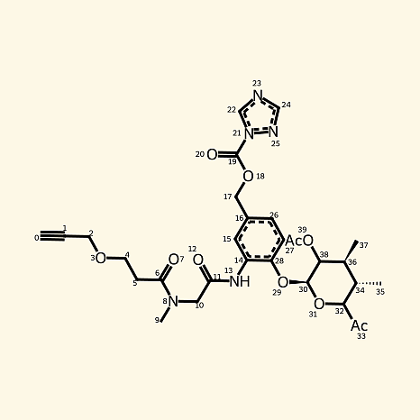 C#CCOCCC(=O)N(C)CC(=O)Nc1cc(COC(=O)n2cncn2)ccc1O[C@@H]1OC(C(C)=O)[C@@H](C)[C@H](C)C1OC(C)=O